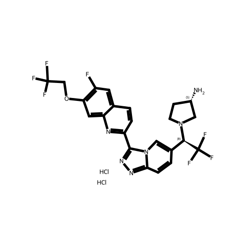 Cl.Cl.N[C@H]1CCN([C@H](c2ccc3nnc(-c4ccc5cc(F)c(OCC(F)(F)F)cc5n4)n3c2)C(F)(F)F)C1